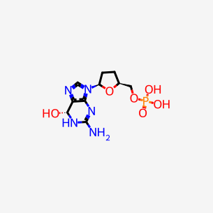 NC1=Nc2c(ncn2[C@H]2CC[C@@H](COP(=O)(O)O)O2)[C@@H](O)N1